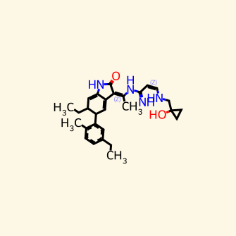 CCc1ccc(C)c(C2C=C3C(=CC2CC)NC(=O)/C3=C(/C)NC(=N)/C=C\NCC2(O)CC2)c1